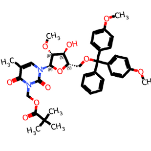 COc1ccc(C(OC[C@@H]2O[C@@H](n3cc(C)c(=O)n(COC(=O)C(C)(C)C)c3=O)[C@H](OC)[C@H]2O)(c2ccccc2)c2ccc(OC)cc2)cc1